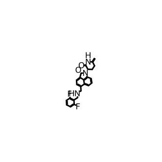 C=C1CCC(N2C(=O)c3ccc(CNCc4c(F)cccc4F)c4cccc2c34)C(=O)N1